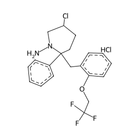 Cl.NN1CC(Cl)CCC1(Cc1ccccc1OCC(F)(F)F)c1ccccc1